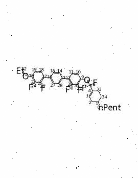 CCCCCC1CC=C(C(F)(F)Oc2ccc(-c3ccc(-c4ccc(OCC)c(F)c4F)cc3)c(F)c2F)CC1